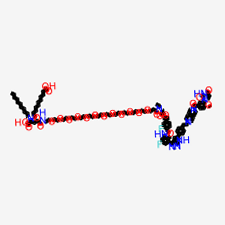 CCCCCCCCCCCN(C(=O)CCCCCCCCCC(=O)O)C(CCC(=O)NCCOCCOCCOCCOCCOCCOCCOCCOCCOCCOCCOCCOCCC(=O)N(CC)CC(=O)OC(C)(C)c1ccc(C(=O)Nc2cc(F)cc(-c3ncnc4[nH]c(-c5ccc(CCN6CCC7(CC6)CCN(C(=O)c6ccc(OC)c(N8CCC(=O)NC8=O)c6)CC7)cc5)cc34)c2C)c(F)c1)C(=O)O